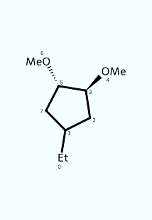 CCC1C[C@H](OC)[C@@H](OC)C1